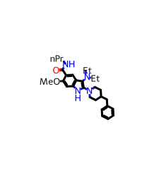 CCCNC(=O)c1cc2c(N(CC)CC)c(N3CCC(Cc4ccccc4)CC3)[nH]c2cc1OC